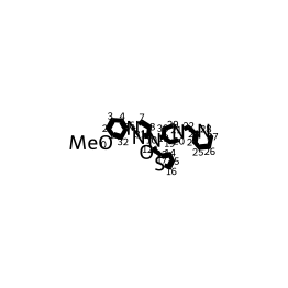 COc1cccc(-n2ccc(N(C(=O)c3cccs3)C3CCN(Cc4ccccn4)CC3)n2)c1